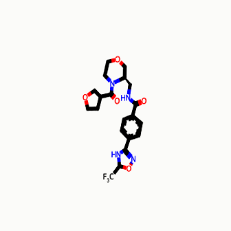 O=C(NC[C@@H]1COCCN1C(=O)C1CCOC1)c1ccc(C2=NOC(C(F)(F)F)N2)cc1